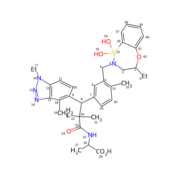 CCC1CN(Cc2cc(C(c3ccc4c(nnn4CC)c3C)C(C)(C)C(=O)NC(C)C(=O)O)ccc2C)S(O)(O)c2ccccc2O1